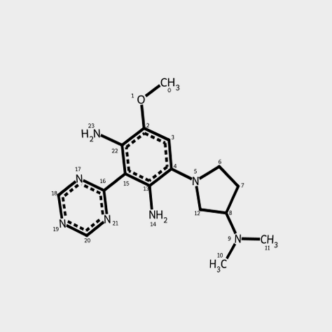 COc1cc(N2CCC(N(C)C)C2)c(N)c(-c2ncncn2)c1N